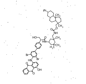 CC(C)C1CCC2C(CCC3C(C)(COC(=O)NCC4(C)CC(NC(=O)C(CO)c5ccc(-c6cc(Br)c(Nc7ccc(O)c8c7C(=O)c7ccccc7C8=O)c(Br)c6)cc5)CC(C)(C)C4)CCCC23C)C1